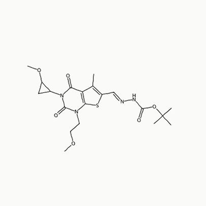 COCCn1c(=O)n(C2CC2OC)c(=O)c2c(C)c(C=NNC(=O)OC(C)(C)C)sc21